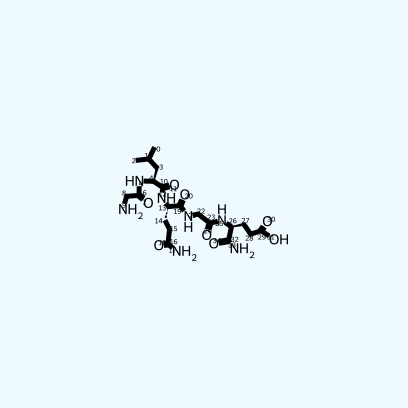 CC(C)C[C@H](NC(=O)CN)C(=O)N[C@@H](CCC(N)=O)C(=O)NCC(=O)N[C@@H](CCC(=O)O)C(N)=O